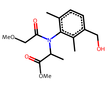 COCC(=O)N(c1c(C)ccc(CO)c1C)C(C)C(=O)OC